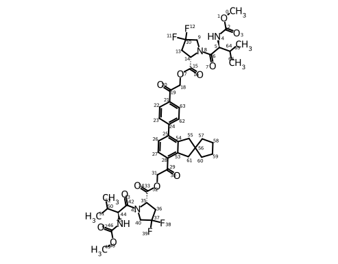 COC(=O)N[C@H](C(=O)N1CC(F)(F)C[C@H]1C(=O)OCC(=O)c1ccc(-c2ccc(C(=O)COC(=O)[C@@H]3CC(F)(F)CN3C(=O)[C@@H](NC(=O)OC)C(C)C)c3c2CC2(CCCC2)C3)cc1)C(C)C